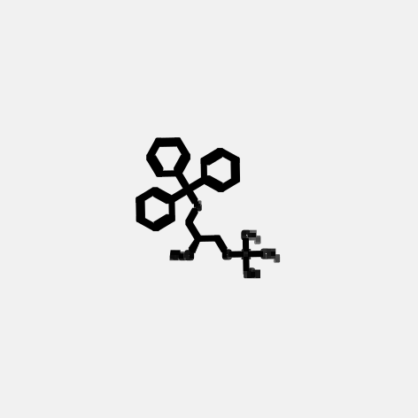 CO[C@H](CO[Si](C)(C)C(C)(C)C)CSC(c1ccccc1)(c1ccccc1)c1ccccc1